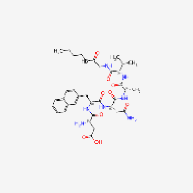 CCCCBC(=O)CNC(=O)[C@@H](NC(=O)[C@H](C)NC(=O)[C@H](CC(N)=O)NC(=O)[C@H](Cc1ccc2ccccc2c1)NC(=O)[C@@H](N)CC(=O)O)C(C)C